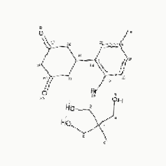 CC(CO)(CO)CO.Cc1ccc(Br)c(C2CC(=O)CC(=O)C2)c1